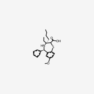 CCCC[C@@]1(CC)N[C@H](c2ccccc2)c2cc(OC)ccc2SC1C(=O)O